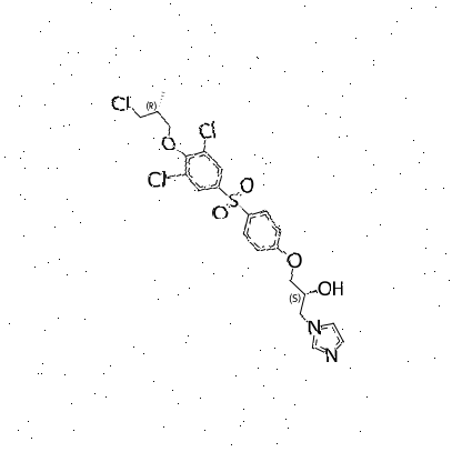 C[C@@H](CCl)COc1c(Cl)cc(S(=O)(=O)c2ccc(OC[C@@H](O)Cn3ccnc3)cc2)cc1Cl